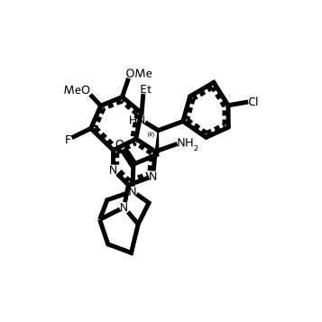 CCN[C@H](CC(=O)N1CC2CCC(C1)N2c1nc(N)c2cc(OC)c(OC)c(F)c2n1)c1ccc(Cl)cc1